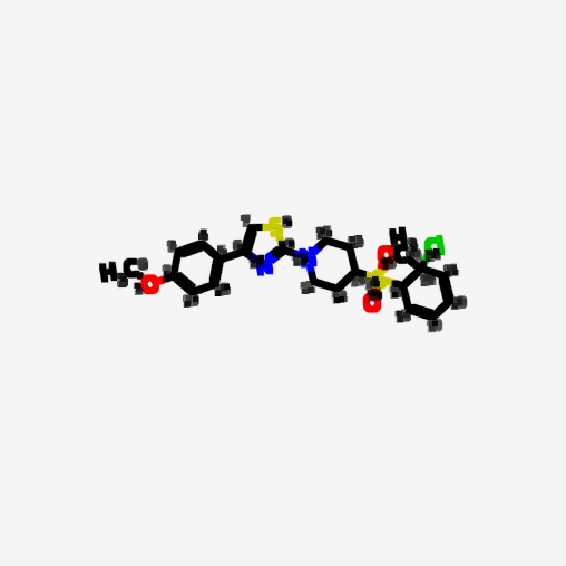 COc1ccc(-c2csc(N3CCC(S(=O)(=O)C4C=CC=CC4(C)Cl)CC3)n2)cc1